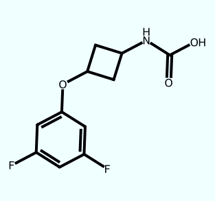 O=C(O)NC1CC(Oc2cc(F)cc(F)c2)C1